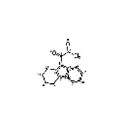 O=C(Cl)C(=O)c1c2c(n3ccccc13)CCCC2